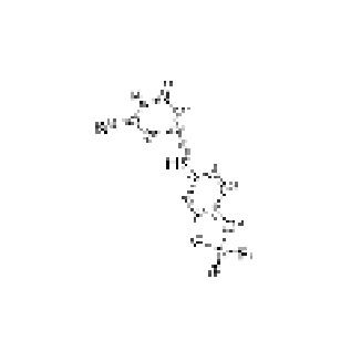 FC(F)(F)Oc1ccc(/[SH]=C/c2cncc(Br)c2)cc1